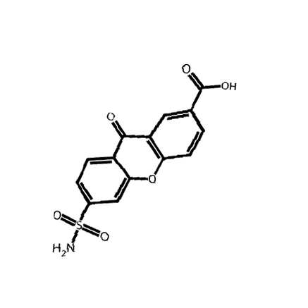 NS(=O)(=O)c1ccc2c(=O)c3cc(C(=O)O)ccc3oc2c1